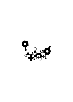 Cc1ccc(N(C)C(=O)[C@@H](O)[C@@H]2C(=O)N3[C@@H]2SC(C)(C)[C@@H]3C(=O)OCc2ccccc2)cc1